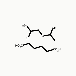 CCCCC(CC)COC(C)O.O=C(O)CCCCC(=O)O